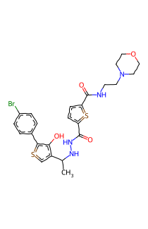 CC(NNC(=O)c1ccc(C(=O)NCCN2CCOCC2)s1)c1csc(-c2ccc(Br)cc2)c1O